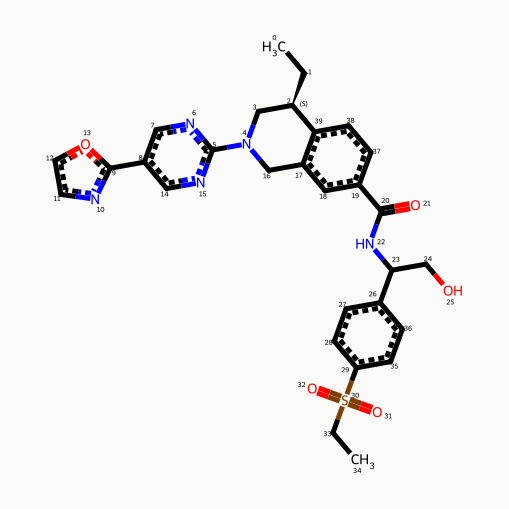 CC[C@@H]1CN(c2ncc(-c3ncco3)cn2)Cc2cc(C(=O)NC(CO)c3ccc(S(=O)(=O)CC)cc3)ccc21